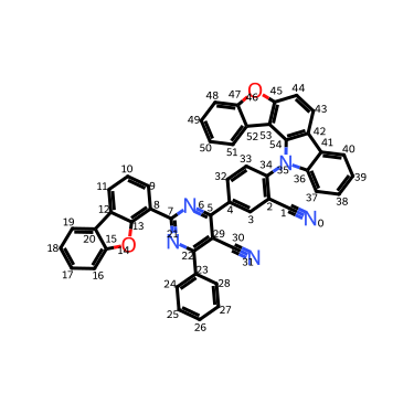 N#Cc1cc(-c2nc(-c3cccc4c3oc3ccccc34)nc(-c3ccccc3)c2C#N)ccc1-n1c2ccccc2c2ccc3oc4ccccc4c3c21